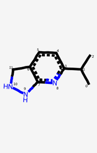 CC(C)c1ccc2c(n1)NNC2